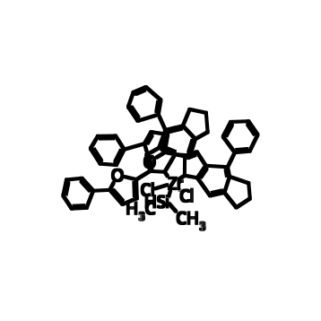 C[SiH](C)[Zr]([Cl])([Cl])([CH]1C(c2ccc(-c3ccccc3)o2)=Cc2c1cc1c(c2-c2ccccc2)CCC1)[CH]1C(c2ccc(-c3ccccc3)o2)=Cc2c1cc1c(c2-c2ccccc2)CCC1